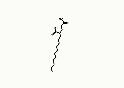 CCCCCCCCCCCC(CCC(=O)O)C(=O)O